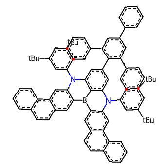 CC(C)(C)c1cc(N2c3cc4c(ccc5ccccc54)cc3B3c4cc5ccc6ccccc6c5cc4N(c4cc(C(C)(C)C)cc(C(C)(C)C)c4)c4cc(-c5c(-c6ccccc6)cc(-c6ccccc6)cc5-c5ccccc5)cc2c43)cc(C(C)(C)C)c1